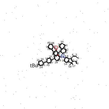 C=CC1=C(/C=C\C)c2cc(N(c3ccc(-c4ccc(-c5ccc(C(C)(C)C)cc5)cc4)cc3)c3ccc4ccccc4c3-c3cccc4c3oc3ccccc34)ccc2C1(C)C